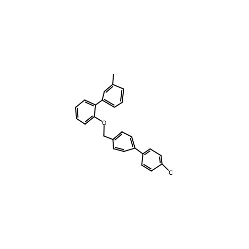 Cc1cccc(-c2ccccc2OCc2ccc(-c3ccc(Cl)cc3)cc2)c1